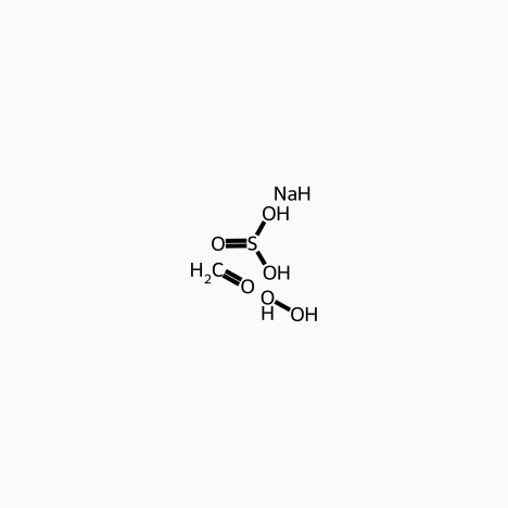 C=O.O=S(O)O.OO.[NaH]